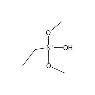 CC[N+](O)(OC)OC